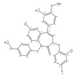 COc1ccc(CN2C(=O)C(Cc3ccc(F)cc3Cl)N=C(c3ccc(CO)c(C)c3)c3cc(Cl)ccc32)cc1